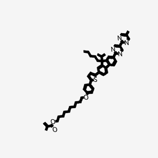 C=C(C)C(=O)OCCCCCCCCCCOc1ccc(-c2ccc(-c3ccc4c(c3)C(CCCCC)(C(C)C)c3cc(-c5ncc(-c6ncc(C)cn6)cn5)ccc3-4)s2)cc1